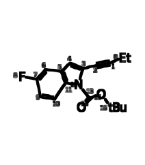 CCC#Cc1cc2cc(F)ccc2n1C(=O)OC(C)(C)C